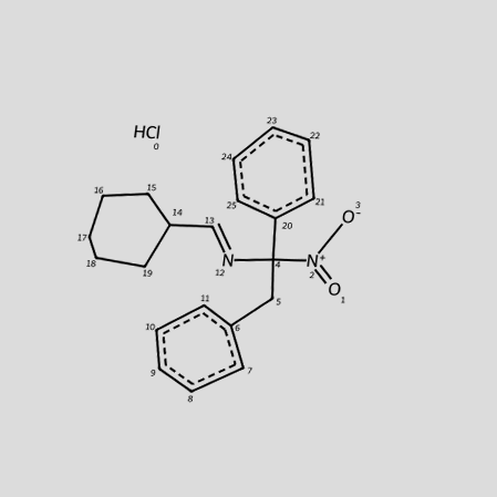 Cl.O=[N+]([O-])C(Cc1ccccc1)(N=CC1CCCCC1)c1ccccc1